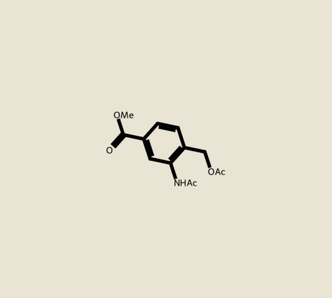 COC(=O)c1ccc(COC(C)=O)c(NC(C)=O)c1